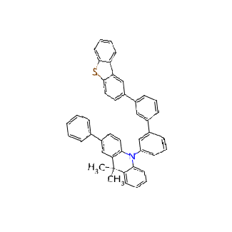 CC1(C)c2ccccc2N(c2cccc(-c3cccc(-c4ccc5sc6ccccc6c5c4)c3)c2)c2ccc(-c3ccccc3)cc21